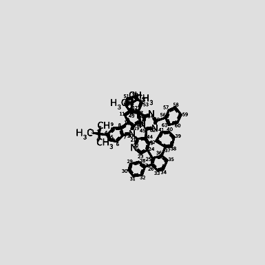 CC(C)(C)c1ccc2c(c1)c1cc(C(C)(C)C)ccc1n2-c1ncc(-c2c(-c3ccccc3)cccc2-c2ccccc2)cc1-c1nc(-c2ccccc2)nc(-c2ccccc2)n1